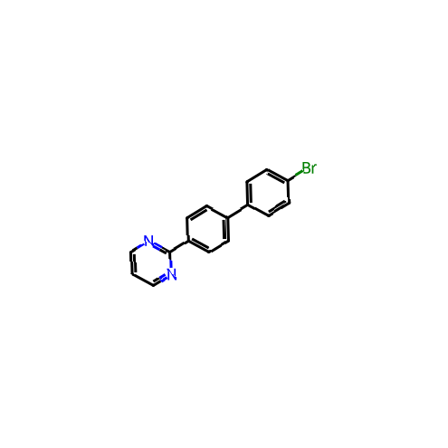 Brc1ccc(-c2ccc(-c3ncccn3)cc2)cc1